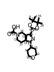 CC1(C)OB(c2nn(C3CCOCC3)c3c2CN(C(=O)O)CC3)OC1(C)C